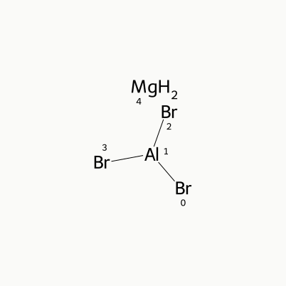 [Br][Al]([Br])[Br].[MgH2]